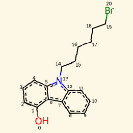 Oc1cccc2c1c1ccccc1n2CCCCCCBr